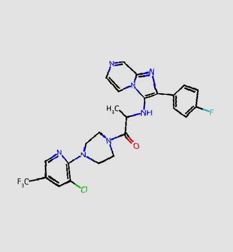 CC(Nc1c(-c2ccc(F)cc2)nc2cnccn12)C(=O)N1CCN(c2ncc(C(F)(F)F)cc2Cl)CC1